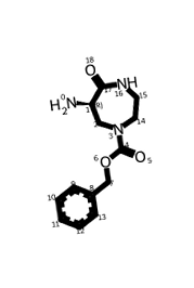 N[C@@H]1CN(C(=O)OCc2ccccc2)CCNC1=O